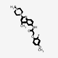 COc1ccc(OCC(=O)Nc2ccc3nc(N4CCN(C)CC4)cc(C)c3c2)c(F)c1